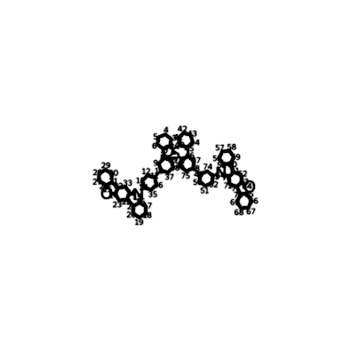 O=S12(c3ccccc3-c3cc(-c4ccc(-n5c6ccccc6c6cc7oc8ccccc8c7cc65)cc4)ccc31)c1ccccc1-c1cc(-c3cccc(-n4c5ccccc5c5cc6oc7ccccc7c6cc54)c3)ccc12